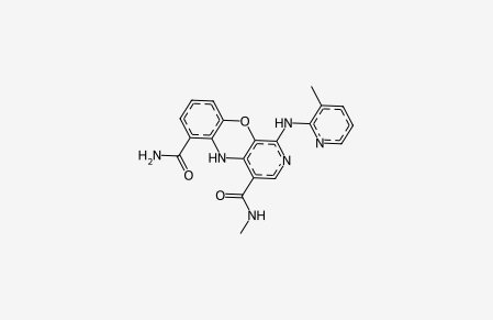 CNC(=O)c1cnc(Nc2ncccc2C)c2c1Nc1c(cccc1C(N)=O)O2